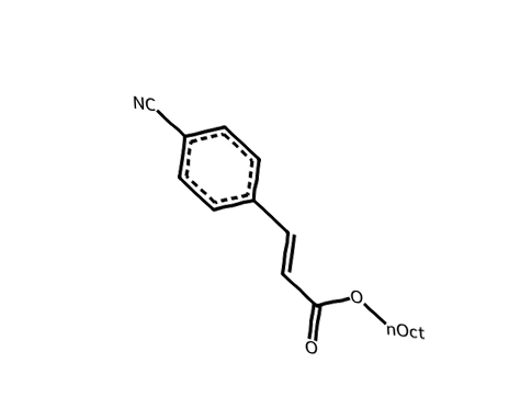 CCCCCCCCOC(=O)C=Cc1ccc(C#N)cc1